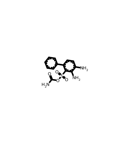 NC(=O)OS(=O)(=O)c1c(-c2ccccc2)ccc(N)c1N